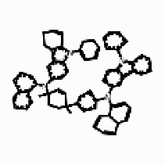 CC1(c2ccc(N(C3=CC=CC4C=CC=CC34)c3ccc4c(c3)c3ccccc3n4-c3ccccc3)cc2)C=CC(C)(N(c2ccc3c(c2)c2c(n3C3=CC=CCC3)C=CCC2)c2cccc3ccccc23)CC1